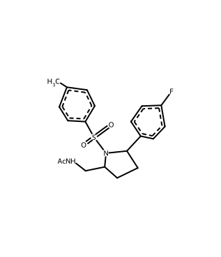 CC(=O)NCC1CCC(c2ccc(F)cc2)N1S(=O)(=O)c1ccc(C)cc1